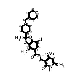 CSc1cc(C)[nH]c(=O)c1CNC(=O)c1cc(Cl)c2c(c1C)O[C@](C)(C1CCN(CC3CCOCC3)CC1)O2